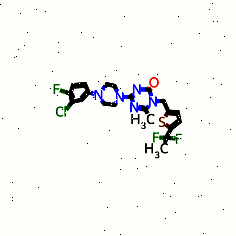 Cc1nc(N2CCN(c3ccc(F)c(Cl)c3)CC2)nc(=O)n1Cc1ccc(C(C)(F)F)s1